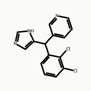 Clc1cccc(C(c2cccnc2)c2cnc[nH]2)c1Cl